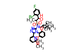 COc1cccc(-c2nnc(N(CC[Si](C)(C)C)S(=O)(=O)C(C)C(O)c3ccc(F)cc3Br)n2-c2c(OC)cccc2OC)n1